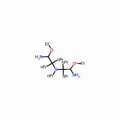 CCCN(C(CCC)(CCC)C(N)OCC)C(CCC)(CCC)C(N)OCC